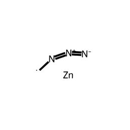 [CH2]N=[N+]=[N-].[Zn]